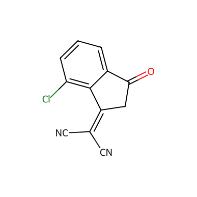 N#CC(C#N)=C1CC(=O)c2cccc(Cl)c21